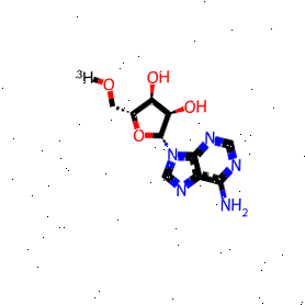 [3H]OC[C@H]1O[C@@H](n2cnc3c(N)ncnc32)[C@H](O)[C@@H]1O